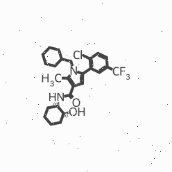 Cc1c(C(=O)N[C@H]2CCCC[C@@H]2O)cc(-c2cc(C(F)(F)F)ccc2Cl)n1CC1CCCCC1